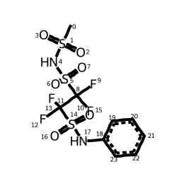 CS(=O)(=O)NS(=O)(=O)C(F)(F)C(F)(F)S(=O)(=O)Nc1ccccc1